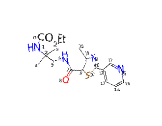 CCOC(=O)NC(C)(C)CNC(=O)C1SC(c2cccnc2)=NC1C